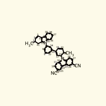 CC1C=Cc2c(n(-c3cccc(C4=CC(n5c6ccc(C#N)cc6c6cc(C#N)ccc65)C(C)C=C4)c3)c3ccccc23)C1